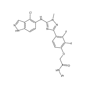 CC(C)NC(=O)COc1ccc(-c2nc(Nc3ccc4[nH]ncc4c3Cl)n(C)n2)c(F)c1F